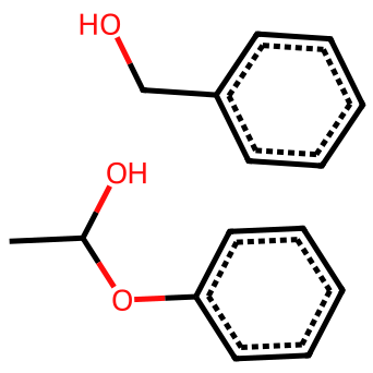 CC(O)Oc1ccccc1.OCc1ccccc1